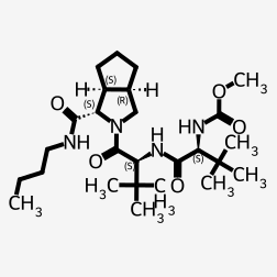 CCCCNC(=O)[C@@H]1[C@H]2CCC[C@H]2CN1C(=O)[C@@H](NC(=O)[C@@H](NC(=O)OC)C(C)(C)C)C(C)(C)C